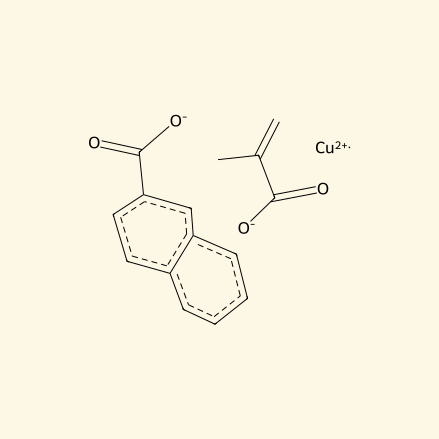 C=C(C)C(=O)[O-].O=C([O-])c1ccc2ccccc2c1.[Cu+2]